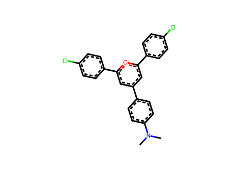 CN(C)c1ccc(-c2cc(-c3ccc(Cl)cc3)[o+]c(-c3ccc(Cl)cc3)c2)cc1